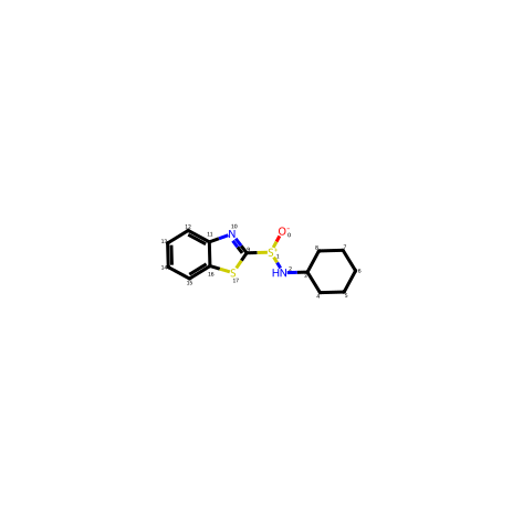 [O-][S+](NC1CCCCC1)c1nc2ccccc2s1